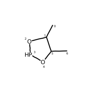 CC1OPOC1C